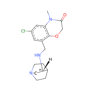 CN1C(=O)COc2c(CN[C@H]3CN4CCC3CC4)cc(Cl)cc21